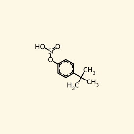 CC(C)(C)c1ccc(O[Si](=O)O)cc1